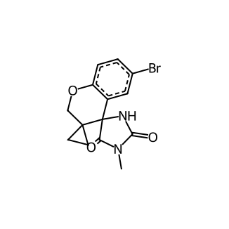 CN1C(=O)NC2(C1=O)c1cc(Br)ccc1OCC21CC1